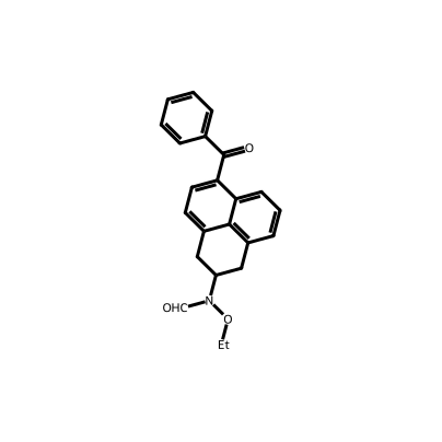 CCON(C=O)C1Cc2cccc3c(C(=O)c4ccccc4)ccc(c23)C1